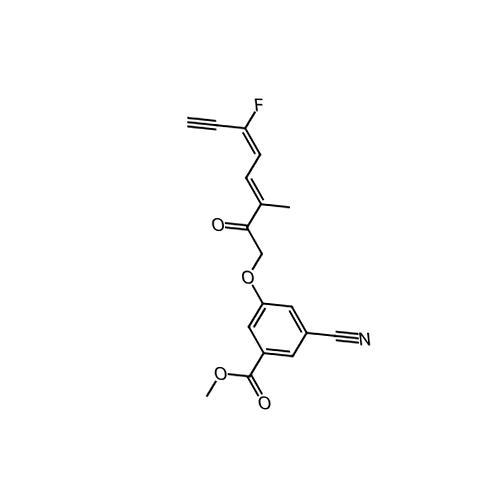 C#C/C(F)=C\C=C(/C)C(=O)COc1cc(C#N)cc(C(=O)OC)c1